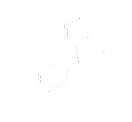 Cc1cnc(N)c(Cc2ccccc2)n1